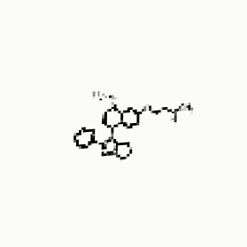 CCN1C=CC(c2c(-c3ccccn3)nn3c2CCC3)c2ccc(OCCNC)cc21